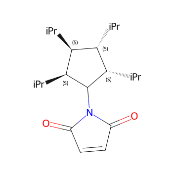 CC(C)[C@@H]1C(N2C(=O)C=CC2=O)[C@@H](C(C)C)[C@@H](C(C)C)[C@@H]1C(C)C